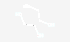 CCCCCO.OCCO